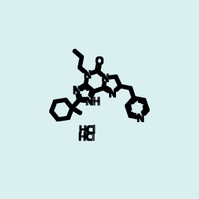 CCCN1C(=O)N2CC(Cc3ccncc3)N=C2c2[nH]c(C3(C)CCCCC3)nc21.Cl.Cl